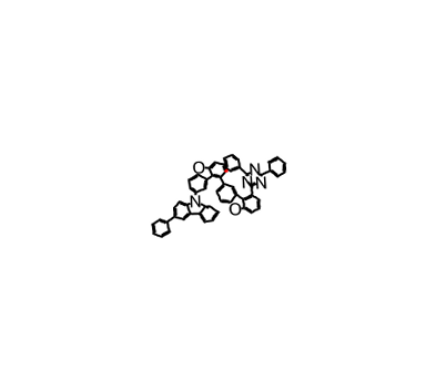 c1ccc(-c2ccc3c(c2)c2ccccc2n3-c2ccc3oc4cccc(-c5ccc6oc7cccc(-c8nc(-c9ccccc9)nc(-c9ccccc9)n8)c7c6c5)c4c3c2)cc1